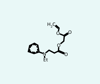 C=COC(=O)COC(=O)CCN(CC)c1ccccc1